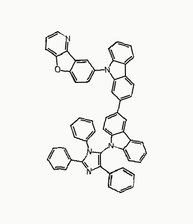 c1ccc(-c2nc(-c3ccccc3)n(-c3ccccc3)c2-n2c3ccccc3c3cc(-c4ccc5c6ccccc6n(-c6ccc7oc8cccnc8c7c6)c5c4)ccc32)cc1